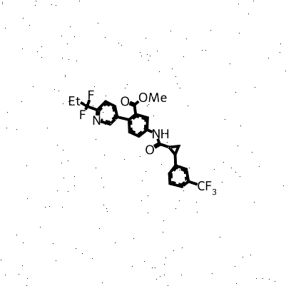 CCC(F)(F)c1ccc(-c2ccc(NC(=O)C3CC3c3cccc(C(F)(F)F)c3)cc2C(=O)OC)cn1